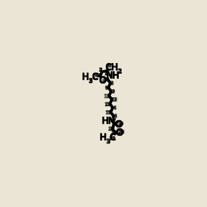 C=C(CC(C)=O)NCCCCCCCCCCNC(=O)CC(C)=O